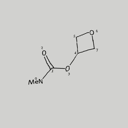 CNC(=O)OC1COC1